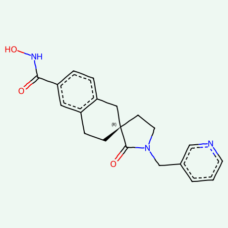 O=C(NO)c1ccc2c(c1)CC[C@]1(CCN(Cc3cccnc3)C1=O)C2